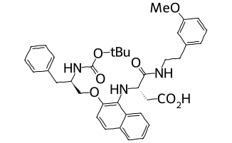 COc1cccc(CCNC(=O)[C@H](CC(=O)O)Nc2c(OC[C@@H](Cc3ccccc3)NC(=O)OC(C)(C)C)ccc3ccccc23)c1